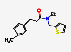 CCN(Cc1cccs1)C(=O)CCc1ccc(C)cc1